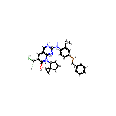 Cc1cc(SCc2ccccc2)ccc1Nc1ncc2cc(C(F)F)c(=O)n(C3CCCC34CC4)c2n1